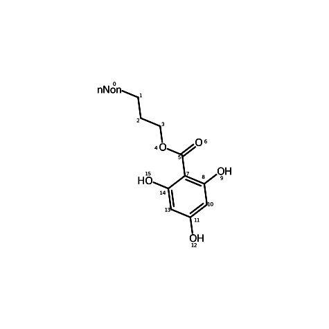 CCCCCCCCCCCCOC(=O)c1c(O)cc(O)cc1O